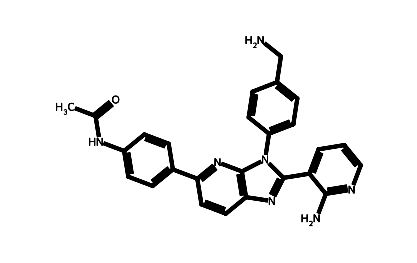 CC(=O)Nc1ccc(-c2ccc3nc(-c4cccnc4N)n(-c4ccc(CN)cc4)c3n2)cc1